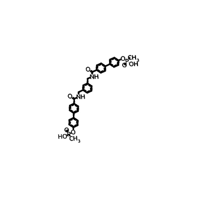 CP(=O)(O)Oc1ccc(-c2ccc(C(=O)NCc3cccc(CNC(=O)c4ccc(-c5ccc(OP(C)(=O)O)cc5)cc4)c3)cc2)cc1